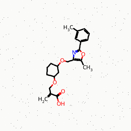 C=C(COC1CCCC(OCc2nc(-c3cccc(C)c3)oc2C)C1)C(=O)O